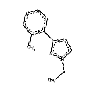 Cc1ccccc1-c1ccn(CC(C)(C)C)n1